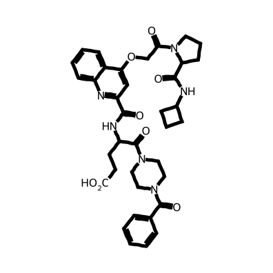 O=C(O)CCC(NC(=O)c1cc(OCC(=O)N2CCCC2C(=O)NC2CCC2)c2ccccc2n1)C(=O)N1CCN(C(=O)c2ccccc2)CC1